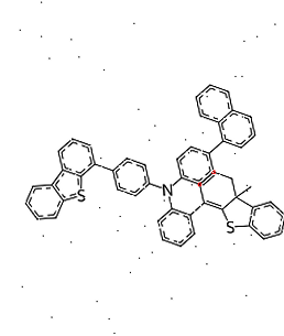 CC12CC=CC(c3ccccc3N(c3ccc(-c4cccc5ccccc45)cc3)c3ccc(-c4cccc5c4sc4ccccc45)cc3)=C1Sc1ccccc12